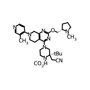 Cc1cnccc1N1CCc2c(nc(OC[C@@H]3CCCN3C)nc2N2CCN(C(=O)O)[C@@](CC#N)(C(C)(C)C)C2)C1